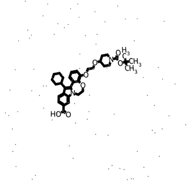 CC(C)(C)OC(=O)N1CCC(OCCOc2cccc3c2OCCn2c-3c(C3CCCCC3)c3ccc(C(=O)O)cc32)CC1